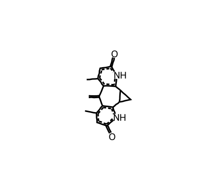 C=C1c2c(C)cc(=O)[nH]c2C2CC2c2[nH]c(=O)cc(C)c21